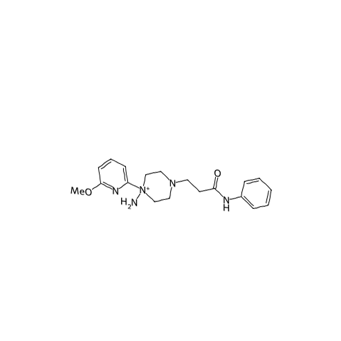 COc1cccc([N+]2(N)CCN(CCC(=O)Nc3ccccc3)CC2)n1